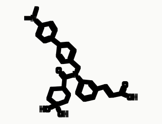 CN(C)c1ccc(-c2ccc(CN(C(=O)C3CCS(O)(O)CC3)c3cccc(C=CC(=O)O)c3)cc2)cc1